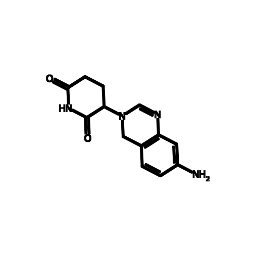 Nc1ccc2c(c1)N=CN(C1CCC(=O)NC1=O)C2